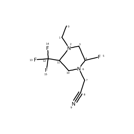 CCN1CC(F)N(CC#N)CC1C(F)(F)F